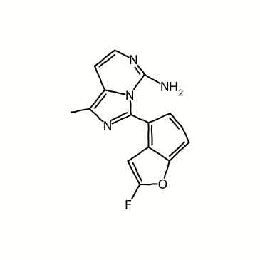 Cc1nc(-c2cccc3oc(F)cc23)n2c(N)nccc12